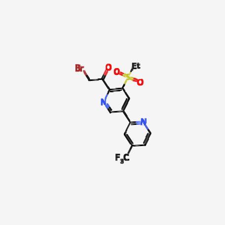 CCS(=O)(=O)c1cc(-c2cc(C(F)(F)F)ccn2)cnc1C(=O)CBr